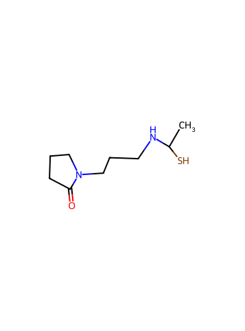 CC(S)NCCCN1CCCC1=O